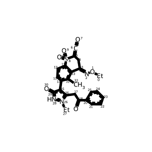 CCON=C1CC(=C=O)S(=O)(=O)c2ccc(-c3c(CC(=O)c4ccccc4)n(CC)[nH]c3=O)c(C)c21